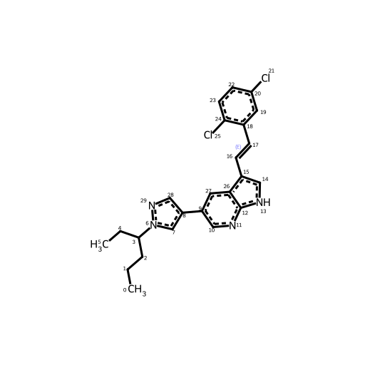 CCCC(CC)n1cc(-c2cnc3[nH]cc(/C=C/c4cc(Cl)ccc4Cl)c3c2)cn1